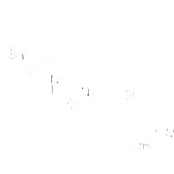 COc1ccc([C@@H]2CN(C(=O)CNC(=O)OC(C)(C)C)C[C@@]2(C)C(C)O)cc1O